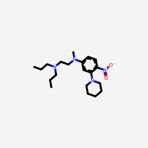 CCCN(CCC)CCN(C)c1ccc([N+](=O)[O-])c(N2CCCCC2)c1